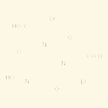 CCC(C(=O)O)N1C(=O)C(=NO)C(=O)N(C(CC)C(=O)O)C1=O